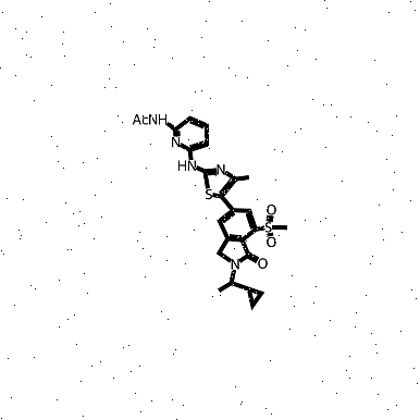 CC(=O)Nc1cccc(Nc2nc(C)c(-c3cc4c(c(S(C)(=O)=O)c3)C(=O)N(C(C)C3CC3)C4)s2)n1